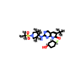 [2H]C([2H])([2H])c1cc2cnc(NC3([2H])C([2H])([2H])CN(S(=O)(=O)C([2H])([2H])[2H])CC3([2H])[2H])nc2n([C@H]2C[C@H](O)CC[C@@H]2F)c1=O